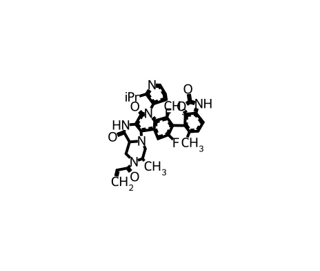 C=CC(=O)N1CC2C(=O)Nc3c(c4cc(F)c(-c5c(C)ccc6[nH]c(=O)oc56)c(F)c4n(-c4c(C)ccnc4C(C)C)c3=O)N2CC1C